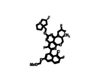 COCOc1cc(-c2nc3c4c(nc(OC[C@@]56CCCN5C[C@H](F)C6)nc4c2F)N(CC(F)F)[C@@H](C)CO3)c2c(Cl)c(F)ccc2c1